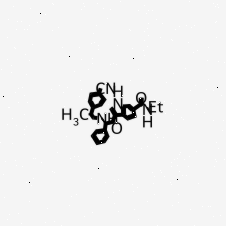 CCNC(=O)c1ccc2c(C(=O)[C@H](NC[C@@H](C)c3ccc(C#N)cc3)c3ccccc3)c[nH]c2c1